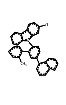 Cc1ccccc1-c1cc(-c2cccc3ccccc23)ccc1-n1c2ccccc2c2ccc(Cl)cc21